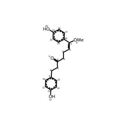 COC(=CCCC(=O)CCc1ccc(O)cc1)c1ccc(O)cc1